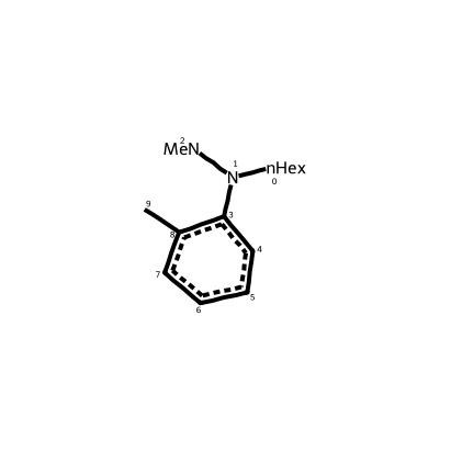 CCCCCCN(NC)c1ccccc1C